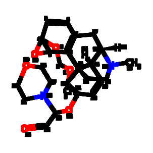 COCOC12C=CC3=C(C1O2)[C@]12CCN(C)[C@H](C3)[C@@H]1C=CC(OC(C=O)N1CCOCC1)C2